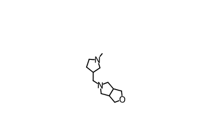 CN1CCC(CN2CC3COCC3C2)C1